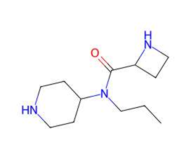 CCCN(C(=O)C1CCN1)C1CCNCC1